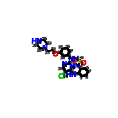 CS(=O)(=O)Nc1ccccc1Nc1nc(Nc2cccc(OCCN3CCNCC3)c2)ncc1Cl